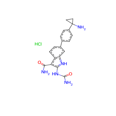 Cl.NC(=O)Nc1[nH]c2cc(-c3ccc(C4(N)CC4)cc3)ccc2c1C(N)=O